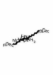 CCCCCCCCCCCCCCCCCCNCCCCCCCCCCCCCCCCCC.CCCCCCCN